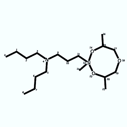 CCCCN(CCCC)CCC[Si]1(C)OC(C)COCC(C)O1